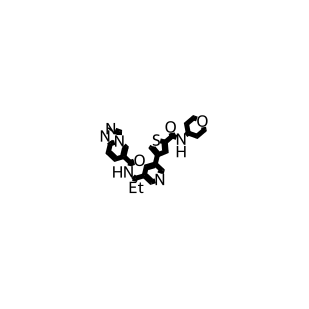 CCC(NC(=O)c1ccc2nncn2c1)c1cncc(-c2csc(C(=O)NC3CCOCC3)c2)c1